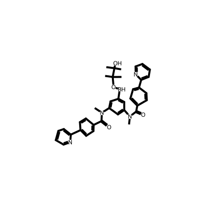 CN(C(=O)c1ccc(-c2ccccn2)cc1)c1cc(BOC(C)(C)C(C)(C)O)cc(N(C)C(=O)c2ccc(-c3ccccn3)cc2)c1